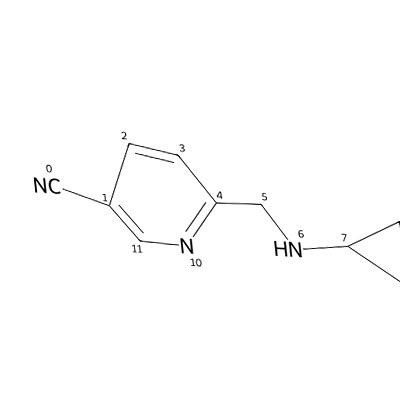 N#Cc1ccc(CNC2CC2)nc1